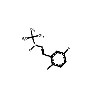 CC(C)(C)[S+]([O-])N=Cc1cc(Br)ccc1F